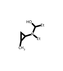 CCC(O)N(CC)C1CC1C